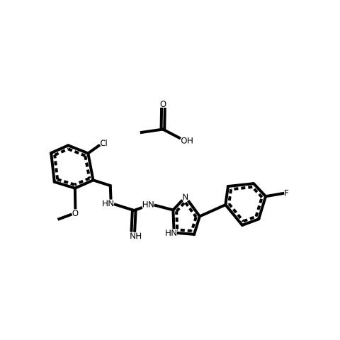 CC(=O)O.COc1cccc(Cl)c1CNC(=N)Nc1nc(-c2ccc(F)cc2)c[nH]1